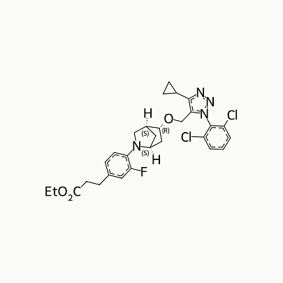 CCOC(=O)CCc1ccc(N2C[C@@H]3C[C@H]2C[C@H]3OCc2c(C3CC3)nnn2-c2c(Cl)cccc2Cl)c(F)c1